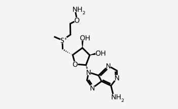 C[S+](CCON)C[C@H]1O[C@@H](n2cnc3c(N)ncnc32)[C@H](O)[C@@H]1O